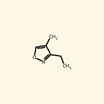 [CH2]c1conc1CC